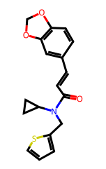 O=C(C=Cc1ccc2c(c1)OCO2)N(Cc1cccs1)C1CC1